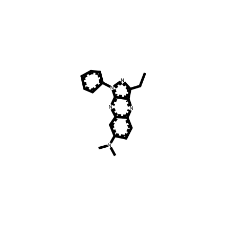 CCc1nn(-c2ccccc2)c2nc3cc(N(C)C)ccc3nc12